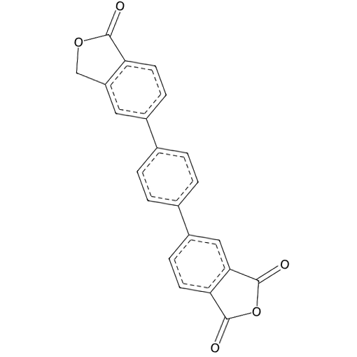 O=C1OCc2cc(-c3ccc(-c4ccc5c(c4)C(=O)OC5=O)cc3)ccc21